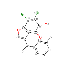 C=C(c1cccc(C)c1)c1coc2c1C(=O)C(=O)C(Br)=C2Br